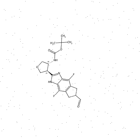 CC(C)(C)OC(=O)N[C@H]1COC[C@@H]1c1nc2c(F)c3c(c(F)c2[nH]1)CC(C=O)C3